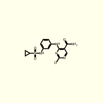 NC(=O)c1cnc(Cl)nc1Nc1cccc(NS(=O)(=O)C2CC2)c1